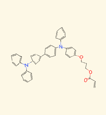 C=CC(=O)OCCCOc1ccc(N(c2ccccc2)c2ccc(-c3ccc(N(c4ccccc4)c4ccccc4)cc3)cc2)cc1